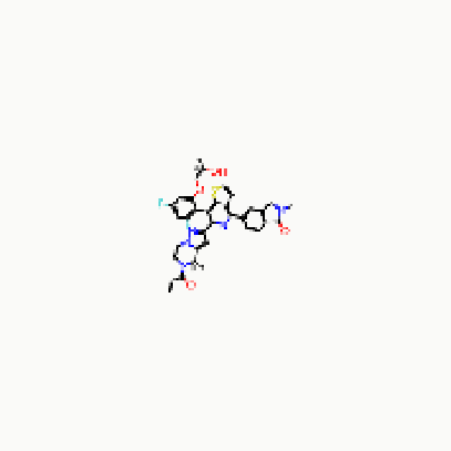 C=CC(=O)N1CCn2nc(-c3nc(-c4ccc5c(c4)CN(C)C5=O)c4ccsc4c3-c3c(F)cc(F)cc3OC[C@@H](C)O)cc2[C@H]1C